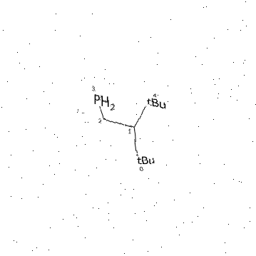 CC(C)(C)C(CP)C(C)(C)C